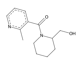 Cc1ncccc1C(=O)N1CCCCC1CO